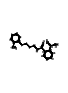 Cc1ccccc1CCCCOC(=O)c1ccccc1C(=O)O